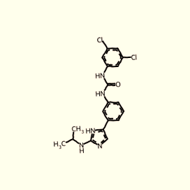 CC(C)Nc1ncc(-c2cccc(NC(=O)Nc3cc(Cl)cc(Cl)c3)c2)[nH]1